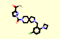 CC(=O)c1ccn(C(=O)N2CCC3(CCN(Cc4cc(Cl)ccc4N4CCC4)C3)CC2)n1